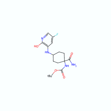 CC(C)(C)OC(=O)NC1(C(N)=O)CCC(Nc2cc(F)cnc2O)CC1